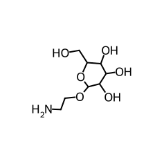 NCCOC1OC(CO)C(O)C(O)C1O